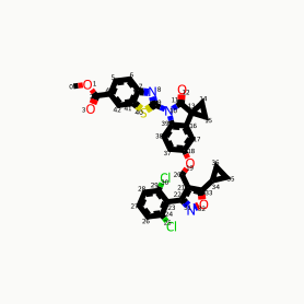 COC(=O)c1ccc2nc(N3C(=O)C4(CC4)c4cc(OCc5c(-c6c(Cl)cccc6Cl)noc5C5CC5)ccc43)sc2c1